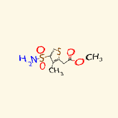 COC(=O)Cc1scc(S(N)(=O)=O)c1C